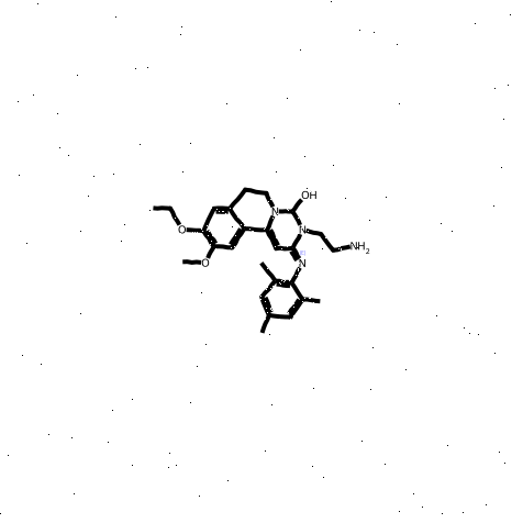 CCOc1cc2c(cc1OC)C1=C/C(=N\c3c(C)cc(C)cc3C)N(CCN)C(O)N1CC2